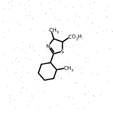 CC1CCCCC1C1=NC(C)C(C(=O)O)S1